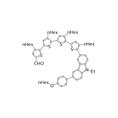 CCCCCCOc1ccc(-c2ccc3c(c2)c2cc(-c4sc(-c5sc(-c6sc(-c7sc(C=O)cc7CCCCCC)cc6CCCCCC)cc5CCCCCC)cc4CCCCCC)ccc2n3CC)cc1